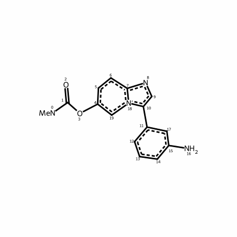 CNC(=O)Oc1ccc2ncc(-c3cccc(N)c3)n2c1